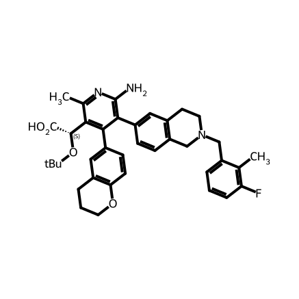 Cc1nc(N)c(-c2ccc3c(c2)CCN(Cc2cccc(F)c2C)C3)c(-c2ccc3c(c2)CCCO3)c1[C@H](OC(C)(C)C)C(=O)O